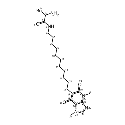 CCC(C)C(N)C(=O)NCCCCCCCCCCCn1c(=O)c2c(ncn2C)n(C)c1=O